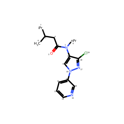 CCCN(C(=O)CC(C)C(C)C)c1cn(-c2cccnc2)nc1Cl